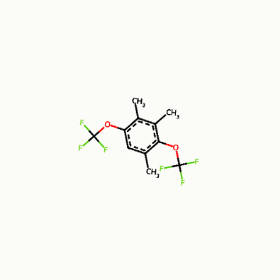 Cc1cc(OC(F)(F)F)c(C)c(C)c1OC(F)(F)F